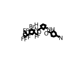 N#Cc1ccc(C(=O)Nc2cccc(C(=O)Nc3c(Br)cc(C(F)(C(F)(F)F)C(F)(F)F)cc3C(F)(F)F)c2)cc1